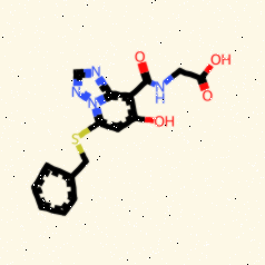 O=C(O)CNC(=O)c1c(O)cc(SCc2ccccc2)n2ncnc12